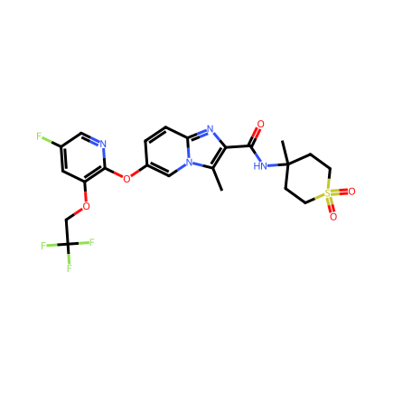 Cc1c(C(=O)NC2(C)CCS(=O)(=O)CC2)nc2ccc(Oc3ncc(F)cc3OCC(F)(F)F)cn12